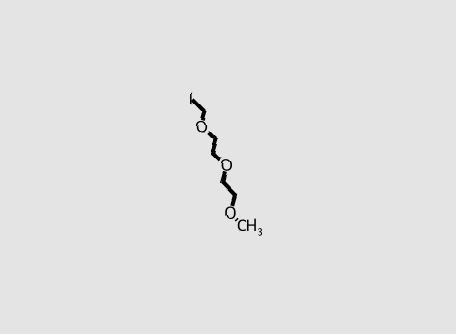 COCCOCCOCI